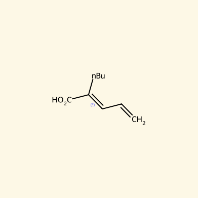 C=C/C=C(\CCCC)C(=O)O